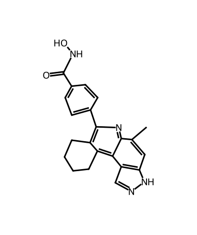 Cc1cc2[nH]ncc2c2c3c(c(-c4ccc(C(=O)NO)cc4)nc12)CCCC3